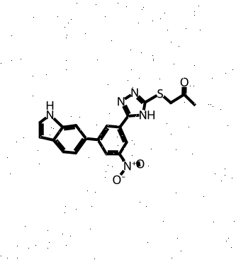 CC(=O)CSc1nnc(-c2cc(-c3ccc4cc[nH]c4c3)cc([N+](=O)[O-])c2)[nH]1